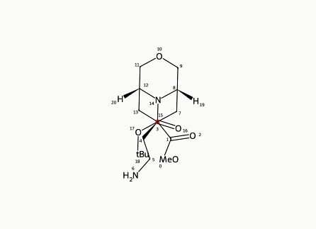 COC(=O)[C@@]1(CCN)C[C@H]2COC[C@@H](C1)N2C(=O)OC(C)(C)C